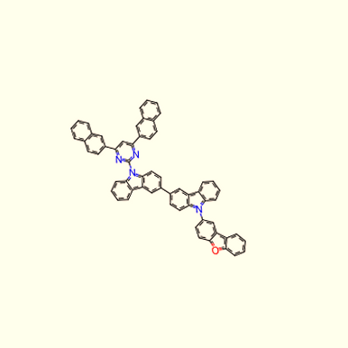 c1ccc2cc(-c3cc(-c4ccc5ccccc5c4)nc(-n4c5ccccc5c5cc(-c6ccc7c(c6)c6ccccc6n7-c6ccc7oc8ccccc8c7c6)ccc54)n3)ccc2c1